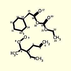 C=CCC(CC)[C@@H](C)OO[C@@H]1CCC[C@@H](CC(=O)OC(=O)OCC)C1